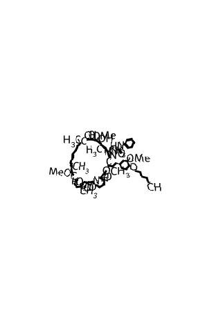 C#CCCCCO[C@@H]1CC[C@@H](C[C@@H](C)[C@@H]2C/C(=N/NC(=O)Nc3ccccc3)[C@H](C)/C=C(\C)[C@@H](O)[C@@H](OC)C(=O)[C@H](C)C[C@H](C)/C=C/C=C/C=C(\C)[C@@H](OC)C[C@@H]3CC[C@@H](C)[C@@](O)(O3)C(=O)C(=O)N3CCCC[C@H]3C(=O)O2)C[C@H]1OC